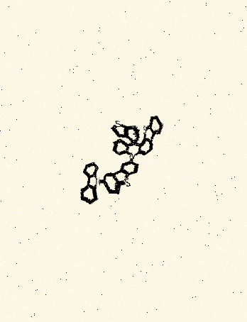 c1ccc2c(c1)N(c1ccc3sc4ccc(-n5c6ccccc6c6ccccc65)cc4c3c1)c1ccc3c(sc4ccccc43)c1C21c2ccsc2-c2sccc21